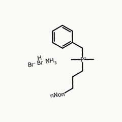 Br.CCCCCCCCCCCC[P+](C)(C)Cc1ccccc1.N.[Br-]